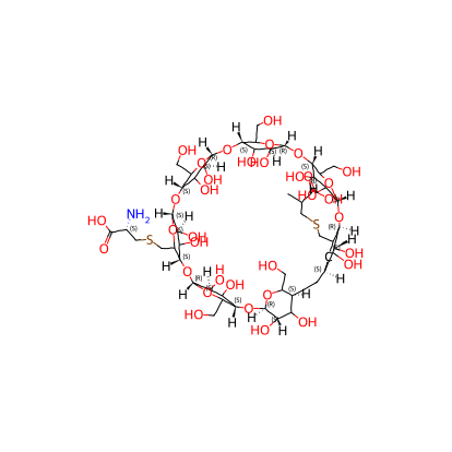 CC(CSCC1C[C@@H]2C[C@@H]3C(CO)O[C@H](O[C@@H]4C(CO)O[C@H](O[C@@H]5C(CSC[C@@H](N)C(=O)O)O[C@H](O[C@@H]6C(CO)O[C@H](O[C@@H]7C(CO)O[C@H](O[C@@H]8C(CO)O[C@H](O[C@H]1[C@H](O)C2O)C(O)[C@H]8O)[C@@H](O)C7O)[C@@H](O)C6O)[C@@H](O)C5O)[C@@H](O)C4O)[C@@H](O)C3O)C(=O)O